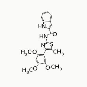 COc1cc(OC)c(-c2nc(NC(=O)c3cc4ccccc4[nH]3)sc2C)cc1OC